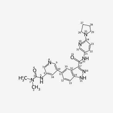 CN(C)C(=O)Nc1cncc(-c2ccc3[nH]nc(C(=O)Nc4ccc(N5CCCC5)nc4)c3c2)c1